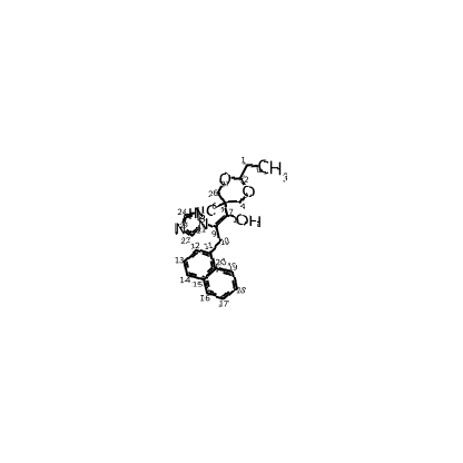 CCC1OCC(C)(C(O)=C(Cc2cccc3ccccc23)n2cncn2)CO1